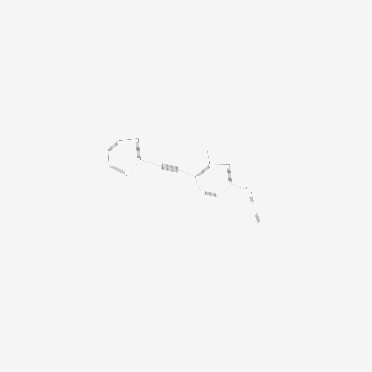 Cc1cc(N=C=S)ccc1C#Cc1ccccc1